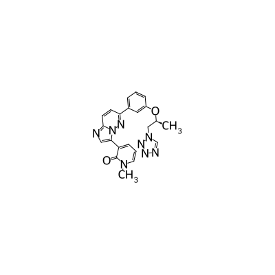 C[C@@H](Cn1cnnn1)Oc1cccc(-c2ccc3ncc(-c4cccn(C)c4=O)n3n2)c1